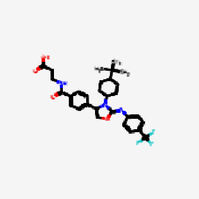 CC(C)(C)C1CCC(N2C(=Nc3ccc(C(F)(F)F)cc3)OCC2c2ccc(C(=O)NCCC(=O)O)cc2)CC1